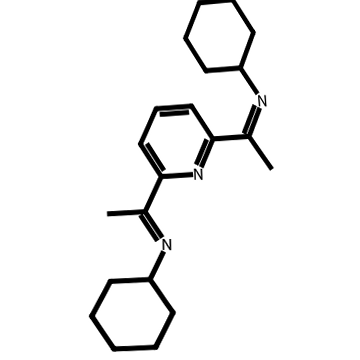 CC(=NC1CCCCC1)c1cccc(C(C)=NC2CCCCC2)n1